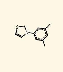 Cc1cc(C)cc(N2C=CSC2)c1